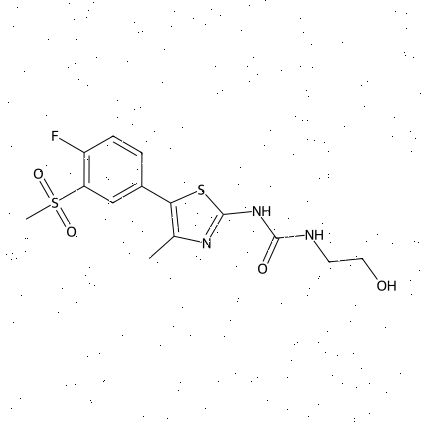 Cc1nc(NC(=O)NCCO)sc1-c1ccc(F)c(S(C)(=O)=O)c1